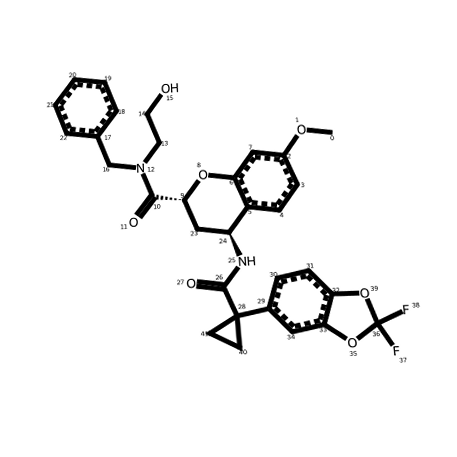 COc1ccc2c(c1)O[C@@H](C(=O)N(CCO)Cc1ccccc1)C[C@@H]2NC(=O)C1(c2ccc3c(c2)OC(F)(F)O3)CC1